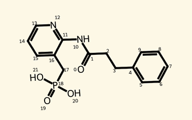 O=C(CCc1ccccc1)Nc1ncccc1CP(=O)(O)O